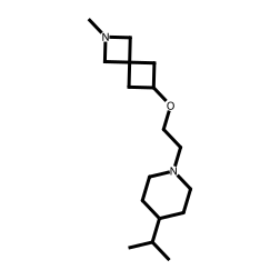 CC(C)C1CCN(CCOC2CC3(C2)CN(C)C3)CC1